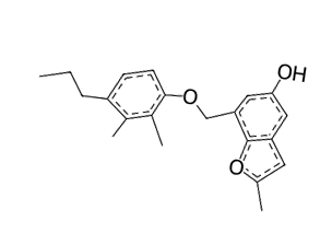 CCCc1ccc(OCc2cc(O)cc3cc(C)oc23)c(C)c1C